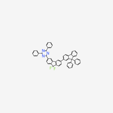 FC1(F)c2ccc(-c3ccc4c(c3)C(c3ccccc3)(c3ccccc3)c3ccccc3-4)cc2-c2cc(-c3nc(-c4ccccc4)nc(-c4ccccc4)n3)ccc21